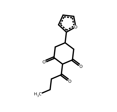 CCCC(=O)C1C(=O)CC(c2ccco2)CC1=O